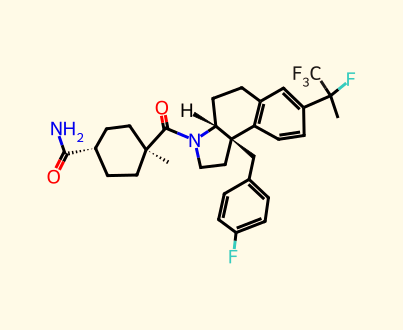 CC(F)(c1ccc2c(c1)CC[C@H]1N(C(=O)[C@]3(C)CC[C@@H](C(N)=O)CC3)CC[C@@]21Cc1ccc(F)cc1)C(F)(F)F